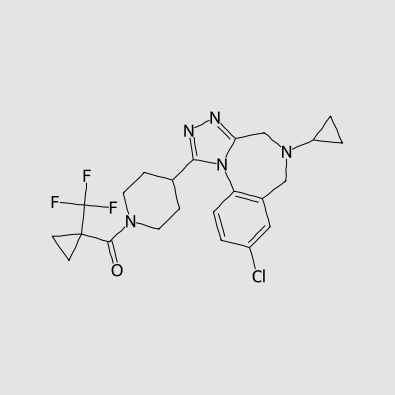 O=C(N1CCC(c2nnc3n2-c2ccc(Cl)cc2CN(C2CC2)C3)CC1)C1(C(F)(F)F)CC1